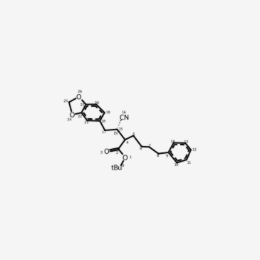 CC(C)(C)OC(=O)C(CCCCc1ccccc1)[C@@H](C#N)Cc1ccc2c(c1)OCO2